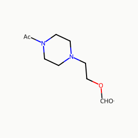 CC(=O)N1CCN(CCO[C]=O)CC1